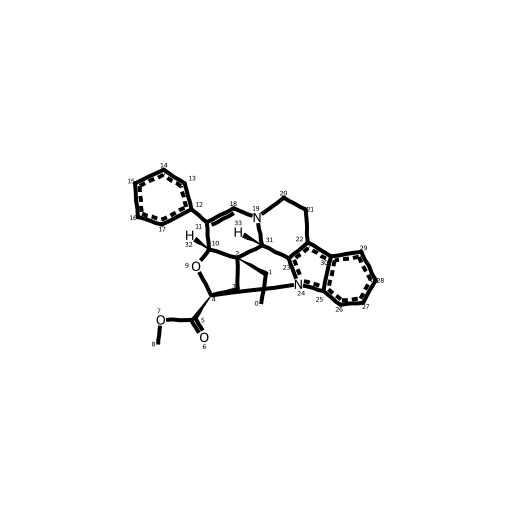 CC[C@@]12C[C@@]3(C(=O)OC)O[C@@H]1C(c1ccccc1)=CN1CCc4c(n3c3ccccc43)[C@@H]12